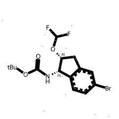 CC(C)(C)OC(=O)N[C@H]1c2ccc(Br)cc2C[C@H]1OC(F)F